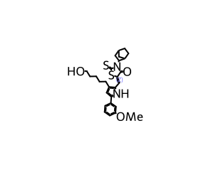 COc1cccc(-c2cc(CCCCCO)c(/C=C3\SC(=S)N(C4CC5CCC4C5)C3=O)[nH]2)c1